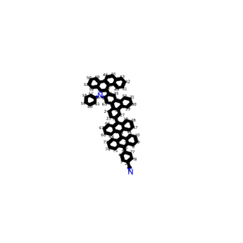 N#Cc1ccc(-c2c3ccccc3c(-c3c4ccccc4c(-c4ccc5c(c4)c4ccccc4c4cc6c7c8c9ccccc9ccc8c8ccccc8c7n(-c7ccccc7)c6cc54)c4ccccc34)c3ccccc23)cc1